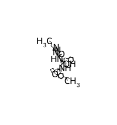 CCCc1cn(CC(=O)N[C@@H](Cc2ccccc2)[C@H](O)CN[C@H]2CC3(CCC3)Oc3ccc(CC)cc32)nn1